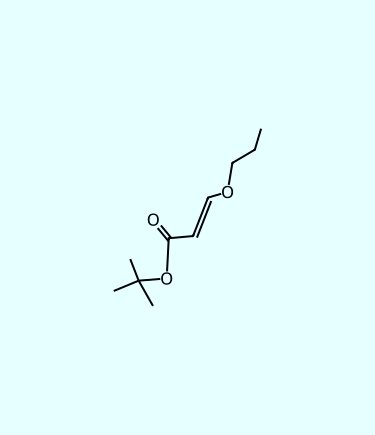 CCCOC=CC(=O)OC(C)(C)C